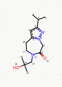 CC(C)c1cc2n(n1)CC(=O)N(CC(C)(C)O)CC2